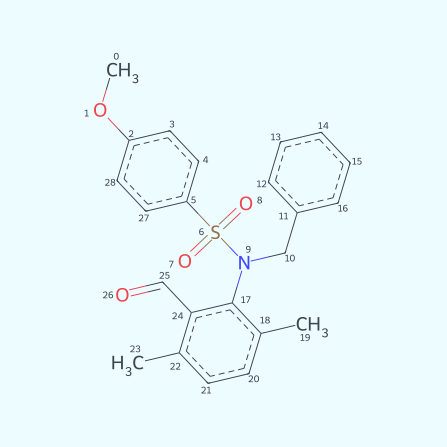 COc1ccc(S(=O)(=O)N(Cc2ccccc2)c2c(C)ccc(C)c2C=O)cc1